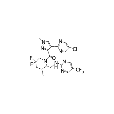 CC1CC(F)(F)CN(C(=O)c2nn(C)cc2-c2ncc(Cl)cn2)C1CNc1ncc(C(F)(F)F)cn1